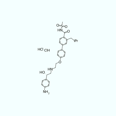 CC(C)Cc1cc(-c2ccc(OCCNC[C@@H](O)c3ccc(N)cc3)cc2)ccc1C(=O)NS(C)(=O)=O.Cl.Cl